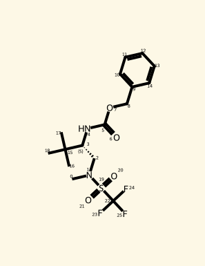 CN(C[C@@H](NC(=O)OCc1ccccc1)C(C)(C)C)S(=O)(=O)C(F)(F)F